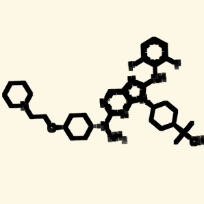 CC(C)(O)[C@H]1CC[C@@H](n2c(Nc3c(F)cccc3F)nc3cnc(N(N)[C@H]4CC[C@H](OCCN5CCCCC5)CC4)nc32)CC1